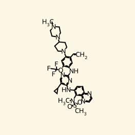 C=Cc1cc(Nc2ncc(C3CC3)c(Nc3ccc4nccnc4c3N(C)S(C)(=O)=O)n2)c(OC(F)(F)F)cc1N1CCC(N2CCN(C)CC2)CC1